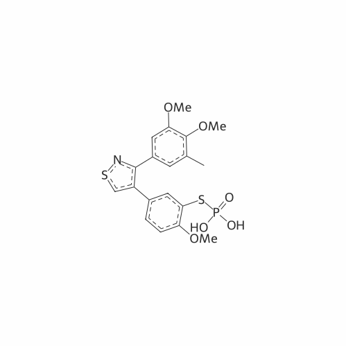 COc1ccc(-c2csnc2-c2cc(C)c(OC)c(OC)c2)cc1SP(=O)(O)O